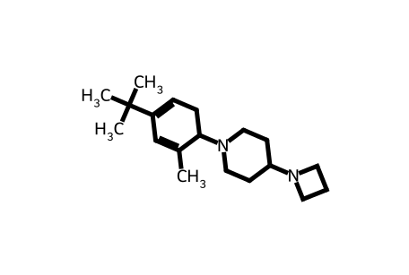 CC1=CC(C(C)(C)C)=CCC1N1CCC(N2CCC2)CC1